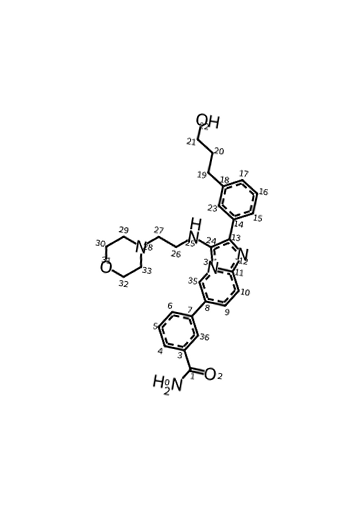 NC(=O)c1cccc(-c2ccc3nc(-c4cccc(CCCO)c4)c(NCCN4CCOCC4)n3c2)c1